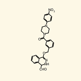 O=CC1NN=C(OCc2cccc(C(=O)N3CCN(c4ccc([N+](=O)[O-])cc4)CC3)c2)c2ccccc21